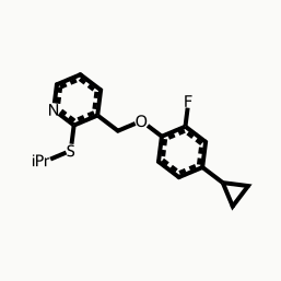 CC(C)Sc1ncccc1COc1ccc(C2CC2)cc1F